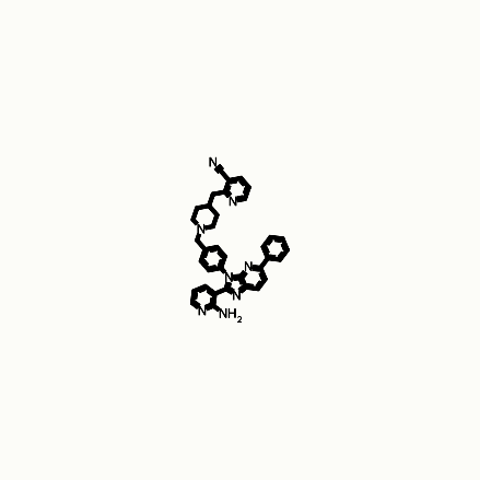 N#Cc1cccnc1CC1CCN(Cc2ccc(-n3c(-c4cccnc4N)nc4ccc(-c5ccccc5)nc43)cc2)CC1